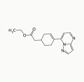 CCOC(=O)CC1CC=C(c2ccnc3ccnn23)CC1